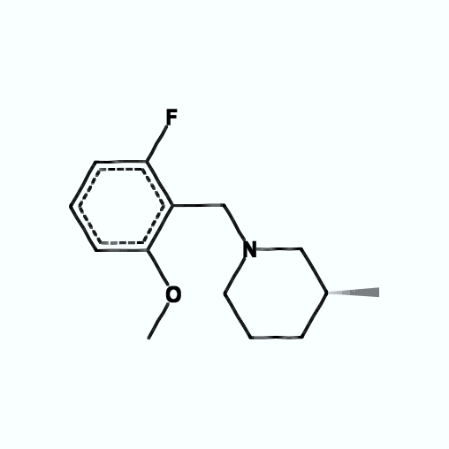 COc1cccc(F)c1CN1CCC[C@@H](C)C1